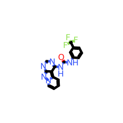 O=C(Nc1cccc(C(F)(F)F)c1)Nc1ncnc2nn3ccccc3c12